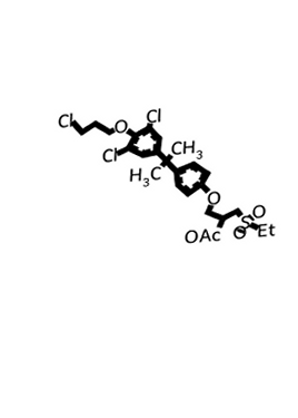 CCS(=O)(=O)CC(COc1ccc(C(C)(C)c2cc(Cl)c(OCCCCl)c(Cl)c2)cc1)OC(C)=O